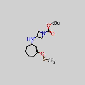 CC(C)(C)OC(=O)N1CC(NC2C=C(OSC(F)(F)F)CCCC2)C1